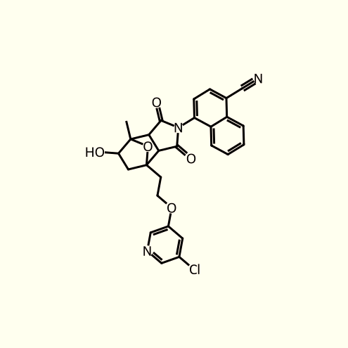 CC12OC(CCOc3cncc(Cl)c3)(CC1O)C1C(=O)N(c3ccc(C#N)c4ccccc34)C(=O)C12